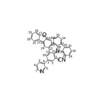 N#Cc1cc(-c2cccnc2)cc(-c2ccc3oc4ccccc4c3c2)c1-n1c2ccccc2c2ccccc21